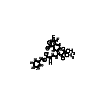 CC1(C)Oc2cc(C(F)(F)F)c(C(=O)Cl)cc2N(CCNC(=O)OCc2ccccc2)C1=O